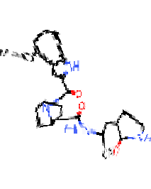 COc1cccc2[nH]c(C(=O)N3C4CCC(CC4)C3C(=O)NC(C#N)CC3CCNC3=O)cc12